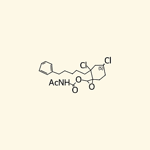 CC(=O)NC(=O)OC1OC12CC[C@H](Cl)CC2(Cl)CCCCCc1ccccc1